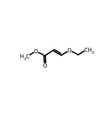 CCO/C=C/C(=O)OC